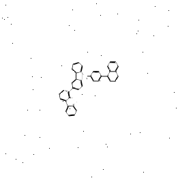 c1ccc2c(-c3ccc(-n4c5ccccc5c5cc(-c6cccc7c6sc6ccccc67)ccc54)cc3)cccc2c1